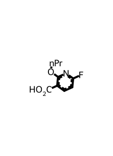 CCCOc1nc(F)ccc1C(=O)O